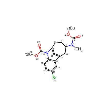 CN(C(=O)OC(C)(C)C)C1CCC2=C=C(C1)c1cc(Br)ccc1N2C(=O)OC(C)(C)C